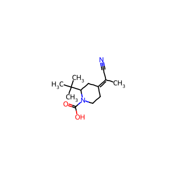 CC(C#N)=C1CCN(C(=O)O)C(C(C)(C)C)C1